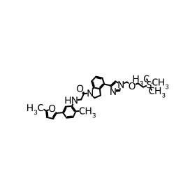 Cc1ccc(-c2ccc(C)c(NCC(=O)N3CCc4c(-c5cn(COCCS(C)(C)C)cn5)cccc43)c2)o1